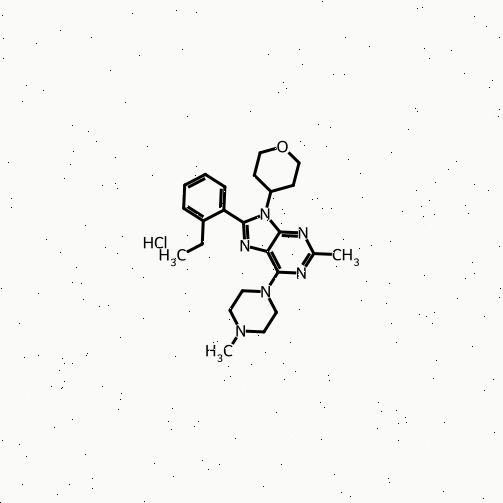 CCc1ccccc1-c1nc2c(N3CCN(C)CC3)nc(C)nc2n1C1CCOCC1.Cl